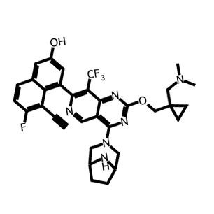 C#Cc1c(F)ccc2cc(O)cc(-c3ncc4c(N5CC6CCC(C5)N6)nc(OCC5(CN(C)C)CC5)nc4c3C(F)(F)F)c12